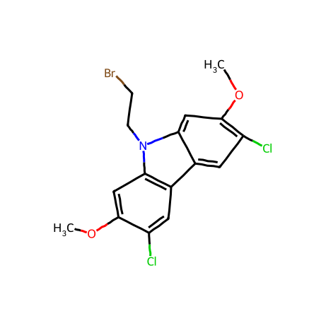 COc1cc2c(cc1Cl)c1cc(Cl)c(OC)cc1n2CCBr